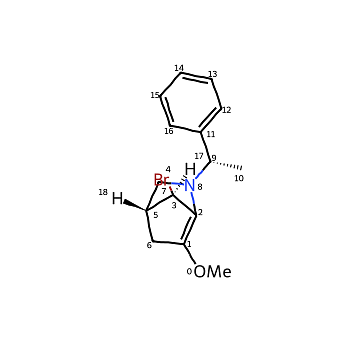 COC1=C2[C@H](Br)[C@H](C1)CN2[C@@H](C)c1ccccc1